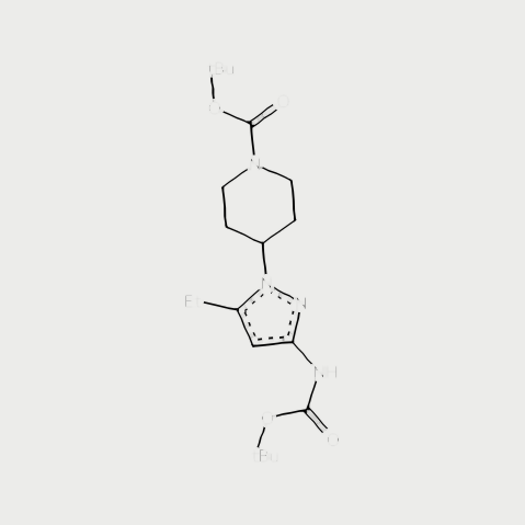 CCc1cc(NC(=O)OC(C)(C)C)nn1C1CCN(C(=O)OC(C)(C)C)CC1